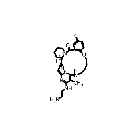 Cc1c(NCCN)nc2cc3nn2c1NCCCCOc1ccc(Cl)cc1C(=O)N1CCCC[C@@H]31